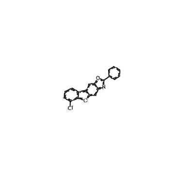 Clc1cccc2c1oc1cc3nc(-c4ccccc4)oc3cc12